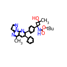 Cc1nc2ccnn2c2nc(-c3ccc(C4(NC(=O)OC(C)(C)C)CC(C)(O)C4)cc3)c(-c3ccccc3)cc12